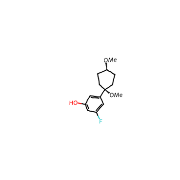 CO[C@H]1CC[C@](OC)(c2cc(O)cc(F)c2)CC1